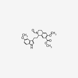 COC(=O)c1cc2c(cc1OC)CCN(C=O)C2CCc1c[nH]c2ccc(OC)cc12